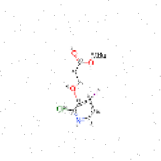 CC(C)(C)OC(=O)CCOc1c(I)ccnc1Cl